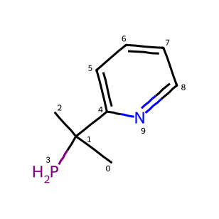 CC(C)(P)c1ccccn1